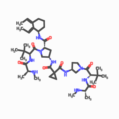 C/C=C1/CCC[C@@H](NC(=O)[C@@H]2C[C@H](NC(=O)C3(C(=O)N[C@H]4CCN(C(=O)[C@@H](NC(=O)[C@H](C)NC)C(C)(C)C)C4)CC3)CN2C(=O)[C@@H](NC(=O)[C@H](C)NC)C(C)(C)C)/C1=C/C